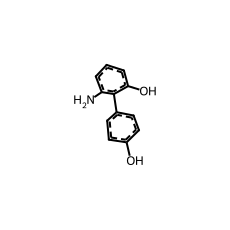 Nc1cccc(O)c1-c1ccc(O)cc1